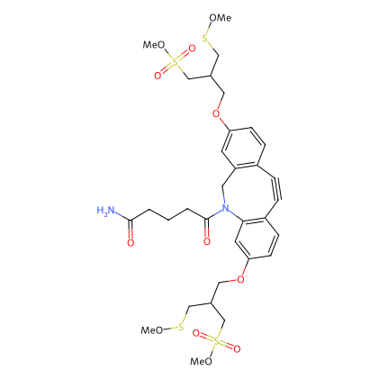 COSCC(COc1ccc2c(c1)CN(C(=O)CCCC(N)=O)c1cc(OCC(CSOC)CS(=O)(=O)OC)ccc1C#C2)CS(=O)(=O)OC